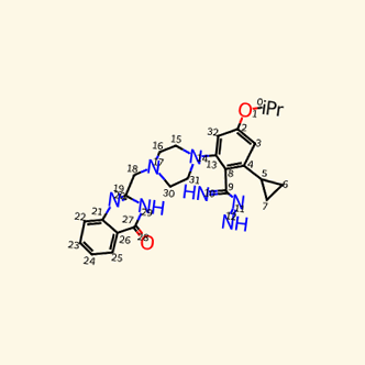 CC(C)Oc1cc(C2CC2)c(C(=N)N=N)c(N2CCN(Cc3nc4ccccc4c(=O)[nH]3)CC2)c1